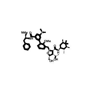 CNC[C@H](Cc1ccccc1)NC(=O)c1cc(-c2cccc(CN3O[C@@H](CO)[C@@H]([C@H](C)O)[C@H]3C(=O)N[C@H]3C[C@@H](C)C(C)(C)[C@@H](C)[C@@H]3C)c2OC)cc(N(C)C)c1